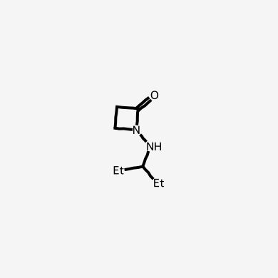 CCC(CC)NN1CCC1=O